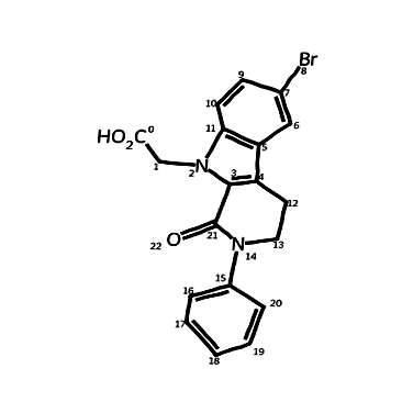 O=C(O)Cn1c2c(c3cc(Br)ccc31)CCN(c1ccccc1)C2=O